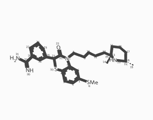 CSc1ccc2c(c1)N(CCCCC[C@]1(C)CCC[C@H](C)N1)C(=O)C(c1cccc(C(=N)N)c1)S2